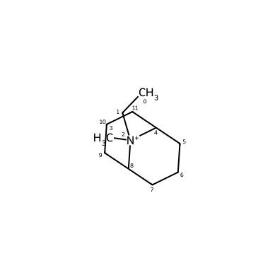 CC[N+]1(C)C2CCCC1CCC2